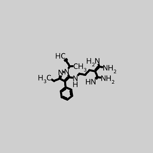 C#CC(C)n1nc(CC)c(-c2ccccc2)c1NCCCC(C(=N)N)=C(N)N